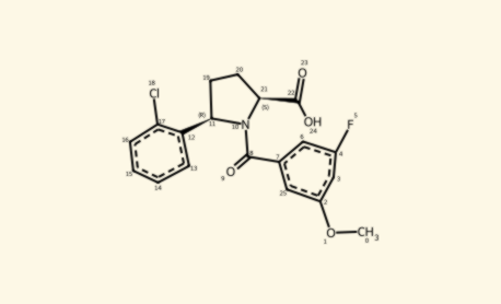 COc1cc(F)cc(C(=O)N2[C@@H](c3ccccc3Cl)CC[C@H]2C(=O)O)c1